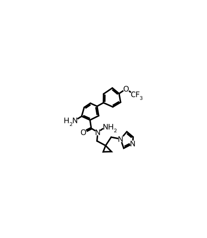 Nc1ccc(-c2ccc(OC(F)(F)F)cc2)cc1C(=O)N(N)CC1(Cn2ccnc2)CC1